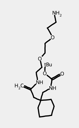 C=C(CC1(CNC(=O)OC(C)(C)C)CCCCC1)NCCOCCOCCN